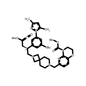 COC(=C=O)C[C@H](CN1CC2(CCN(Cc3ccc4c(n3)N(C(=O)OC(C)(C)C)CCO4)CC2)C1)c1cc(-n2nc(C)cc2C)cc(C(C)(C)C)c1